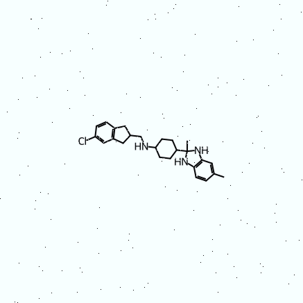 Cc1ccc2c(c1)NC(C)(C1CCC(NCC3Cc4ccc(Cl)cc4C3)CC1)N2